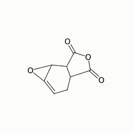 O=C1OC(=O)C2C1CC=C1OC12